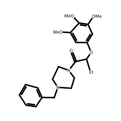 CCC(Oc1cc(OC)c(OC)c(OC)c1)C(=O)N1CCN(Cc2ccccc2)CC1